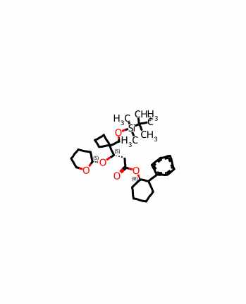 CC(C)(C)[Si](C)(C)OCC1([C@H](CC(=O)O[C@@H]2CCCCC2c2ccccc2)O[C@H]2CCCCO2)CCC1